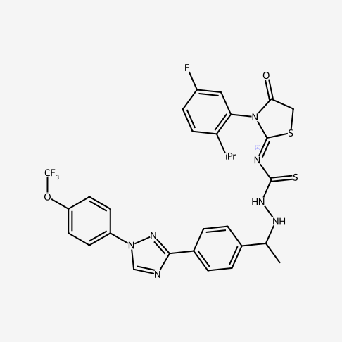 CC(C)c1ccc(F)cc1N1C(=O)CS/C1=N\C(=S)NNC(C)c1ccc(-c2ncn(-c3ccc(OC(F)(F)F)cc3)n2)cc1